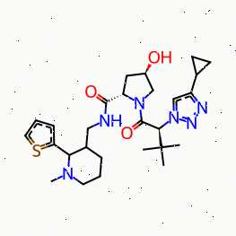 CN1CCCC(CNC(=O)[C@@H]2C[C@@H](O)CN2C(=O)[C@@H](n2cc(C3CC3)nn2)C(C)(C)C)C1c1cccs1